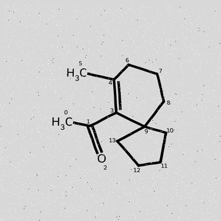 CC(=O)C1=C(C)CCCC12CCCC2